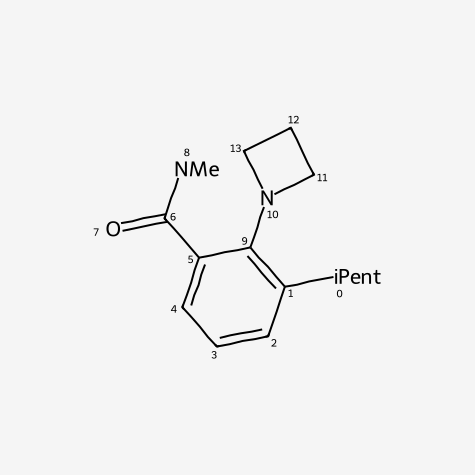 CCCC(C)c1cccc(C(=O)NC)c1N1CCC1